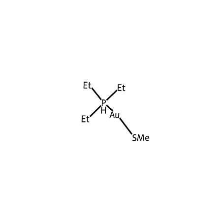 CC[PH](CC)(CC)[Au][S]C